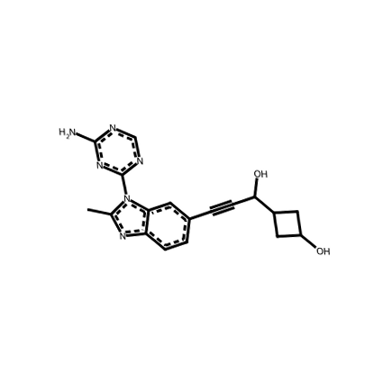 Cc1nc2ccc(C#CC(O)C3CC(O)C3)cc2n1-c1ncnc(N)n1